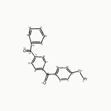 CC(C)Oc1ccc(C(=O)c2ccc(C(=O)c3ccccc3)cc2)cc1